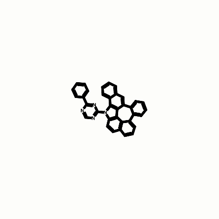 c1ccc(-c2ncnc(-n3c4ccc5cccc6c5c4c4c(cc5ccccc5c43)-c3ccccc3-6)n2)cc1